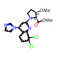 COC(=O)[C@@H]1[C@H](OC)CCN1c1cc(-n2ccnc2)c2ccc(Cl)c(Cl)c2n1